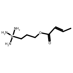 CC=CC(=O)OCCC[Si](N)(N)N